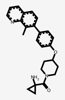 Cc1c(-c2ccc(OC3CCN(C(=O)C4(N)CC4)CC3)cc2)ccc2cccnc12